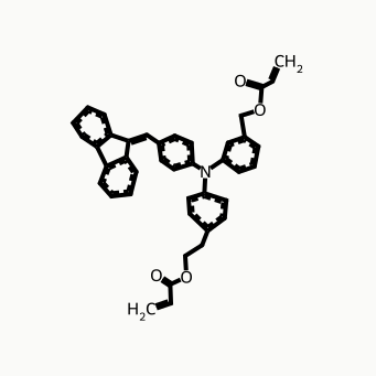 C=CC(=O)OCCc1ccc(N(c2ccc(C=C3c4ccccc4-c4ccccc43)cc2)c2cccc(COC(=O)C=C)c2)cc1